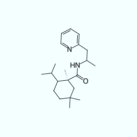 CC(Cc1ccccn1)NC(=O)[C@@]1(C)CC(C)(C)CCC1C(C)C